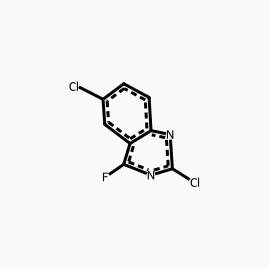 Fc1nc(Cl)nc2ccc(Cl)cc12